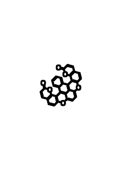 O=c1ccc2ccc3c(c2o1)-c1c2ccccc2c2c4c(ccc(c14)O3)Oc1ccc3ccc(=O)oc3c1-2